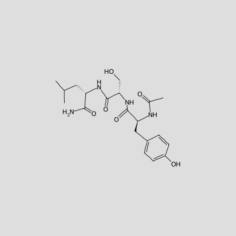 CC(=O)N[C@@H](Cc1ccc(O)cc1)C(=O)N[C@@H](CO)C(=O)N[C@@H](CC(C)C)C(N)=O